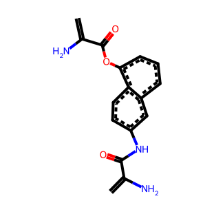 C=C(N)C(=O)Nc1ccc2c(OC(=O)C(=C)N)cccc2c1